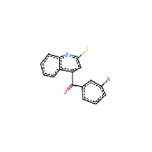 O=C(c1cccc(Cl)c1)c1cc(F)nc2ccccc12